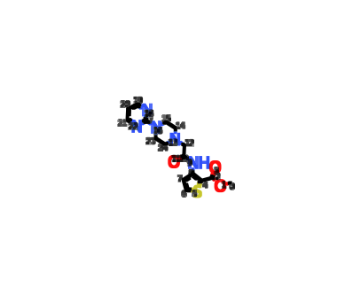 COC(=O)c1sccc1NC(=O)CN1CCN(c2ncccn2)CC1